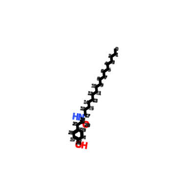 CCCCCCCCCCCCCCCCCCNC(=O)Cc1ccc(O)cc1